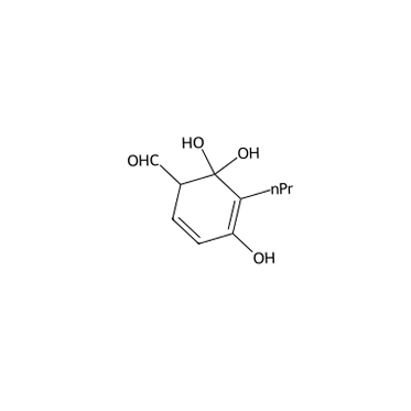 CCCC1=C(O)C=CC(C=O)C1(O)O